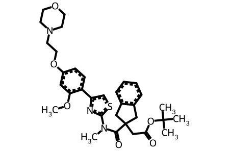 COc1cc(OCCN2CCOCC2)ccc1-c1csc(N(C)C(=O)C2(CC(=O)OC(C)(C)C)Cc3ccccc3C2)n1